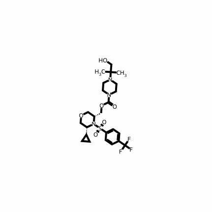 CC(C)(CO)N1CCN(C(=O)OC[C@H]2COC[C@@H](C3CC3)N2S(=O)(=O)c2ccc(C(F)(F)F)cc2)CC1